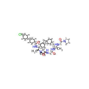 C=C(NCC(=O)N1CCCC1)C1Cc2ccc3c(c2)-c2cc(ccc2C3)C(N(C)C(=C)CNC(=O)c2ccc(-c3ccc(Cl)cc3)cc2)C(=O)NCC(=O)N1